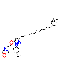 CC(=O)CC(C)CCCCCCCCCCCCc1cc(OCCN2CCOCC2)n(-c2ccc(C(C)C)cc2)n1